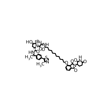 Cc1ncsc1-c1ccc([C@H](C)NC(=O)[C@@H]2C[C@@H](O)CN2C(=O)[C@@H](NC(=O)CCCCCCCCCCOc2cccc3c2C(=O)N(C2CCC(=O)NC2=O)C3=O)C(C)(C)C)cc1